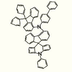 c1ccc(-c2ccc(N(c3cccc4c3-c3ccccc3C4(c3ccccc3)c3ccccc3)c3cccc4c3-c3ccccc3C43c4ccccc4N(c4ccccc4)c4ccccc43)cc2)cc1